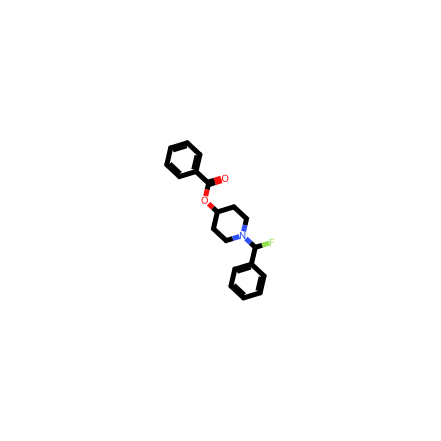 O=C(OC1CCN(C(F)c2ccccc2)CC1)c1ccccc1